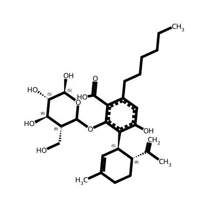 C=C(C)[C@@H]1CCC(C)=C[C@H]1c1c(O)cc(CCCCCC)c(C(=O)O)c1OC1O[C@H](O)[C@@H](O)[C@H](O)[C@H]1CO